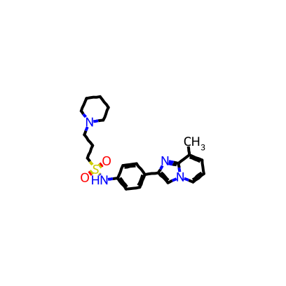 Cc1cccn2cc(-c3ccc(NS(=O)(=O)CCCN4CCCCC4)cc3)nc12